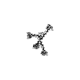 CC[Si](CCCOCC(O)CN(CCN(CCC[Si](OC)(OC)OC)CC(O)COCCC[Si](OC)(OC)OC)CC(O)COCCC[Si](OC)(OC)OC)(OC)OC